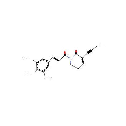 COc1cc(C=CC(=O)N2CCC=C(C#CC(C)(C)C)C2=O)cc(OC)c1OC